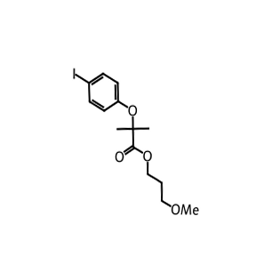 COCCCOC(=O)C(C)(C)Oc1ccc(I)cc1